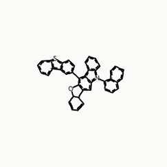 C1=CC2Oc3c(cc4c(c3-c3ccc5sc6ccccc6c5c3)c3ccccc3n4-c3cccc4ccccc34)C2C=C1